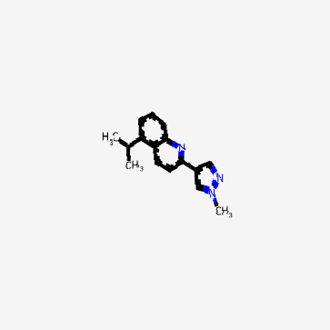 CC(C)c1cccc2nc(-c3cnn(C)c3)ccc12